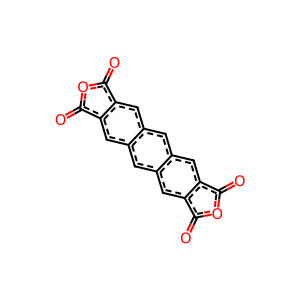 O=c1oc(=O)c2cc3cc4cc5c(=O)oc(=O)c5cc4cc3cc12